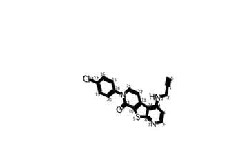 C#CCNc1ccnc2sc3c(=O)n(-c4ccc(Cl)cc4)ccc3c12